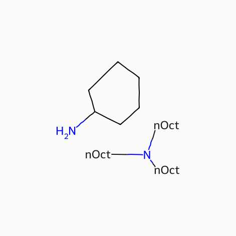 CCCCCCCCN(CCCCCCCC)CCCCCCCC.NC1CCCCC1